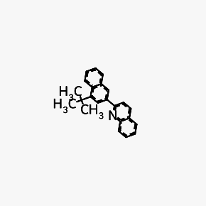 CC(C)(C)c1cc(-c2ccc3ccccc3n2)cc2ccccc12